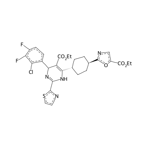 CCOC(=O)C1=C([C@H]2CC[C@H](c3ncc(C(=O)OCC)o3)CC2)NC(c2nccs2)=NC1c1ccc(F)c(F)c1Cl